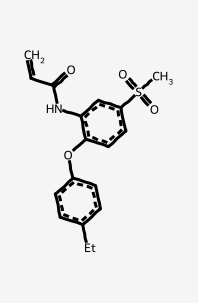 C=CC(=O)Nc1cc(S(C)(=O)=O)ccc1Oc1ccc(CC)cc1